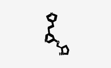 C(=Cc1cncc(OC[C@H]2CCCN2)c1)c1ccncc1